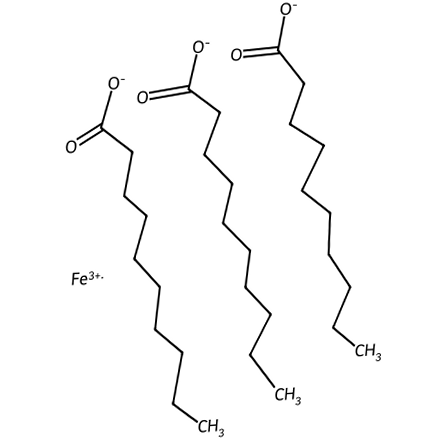 CCCCCCCCCC(=O)[O-].CCCCCCCCCC(=O)[O-].CCCCCCCCCC(=O)[O-].[Fe+3]